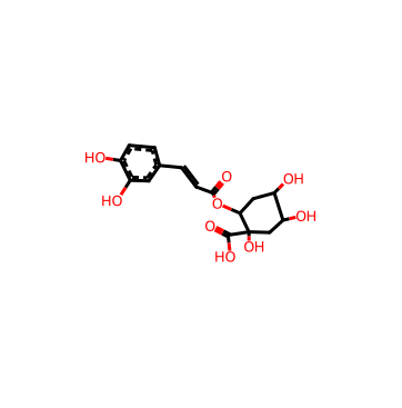 O=C(C=Cc1ccc(O)c(O)c1)OC1CC(O)C(O)CC1(O)C(=O)O